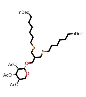 CCCCCCCCCCCCCCCCSCC(CO[C@@H]1OC[C@@H](OC(C)=O)[C@H](OC(C)=O)[C@H]1OC(C)=O)CSCCCCCCCCCCCCCCCC